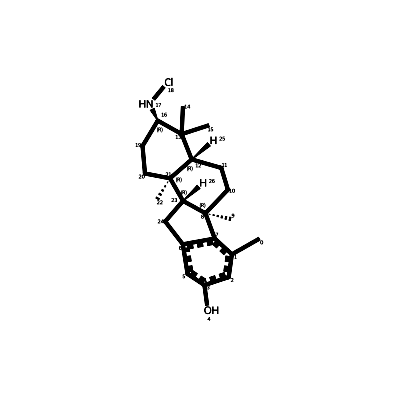 Cc1cc(O)cc2c1[C@]1(C)CC[C@H]3C(C)(C)[C@H](NCl)CC[C@]3(C)[C@H]1C2